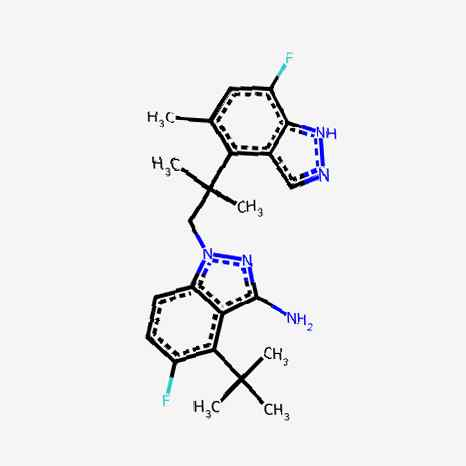 Cc1cc(F)c2[nH]ncc2c1C(C)(C)Cn1nc(N)c2c(C(C)(C)C)c(F)ccc21